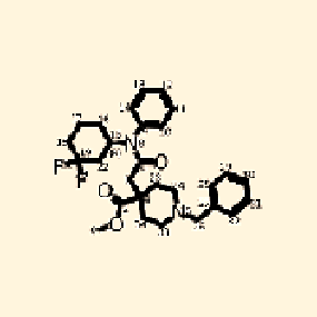 COC(=O)C1(CC(=O)N(c2ccccc2)[C@@H]2CCCC(F)(F)C2)CCN(Cc2ccccc2)CC1